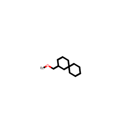 CCOCC1CCCC2(CCCCC2)C1